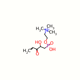 C=CC(=O)C(O)CP(=O)(O)OCC[N+](C)(C)C